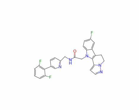 O=C(Cn1c2c(c3cc(F)ccc31)CCn1nccc1-2)NCc1ccc(-c2c(F)cccc2F)cn1